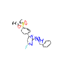 CS(=O)(=O)c1ccc(-c2cc(F)nc(NCc3ccccc3)n2)cc1